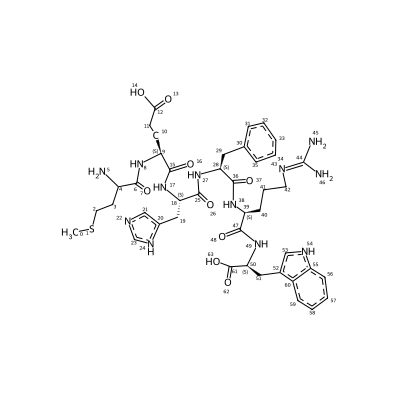 CSCCC(N)C(=O)N[C@@H](CCC(=O)O)C(=O)N[C@@H](Cc1cnc[nH]1)C(=O)N[C@@H](Cc1ccccc1)C(=O)N[C@@H](CCCN=C(N)N)C(=O)N[C@@H](Cc1c[nH]c2ccccc12)C(=O)O